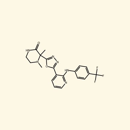 CN1CCNC(=O)C1(C)c1nnc(-c2cccnc2Nc2ccc(C(F)(F)F)cc2)o1